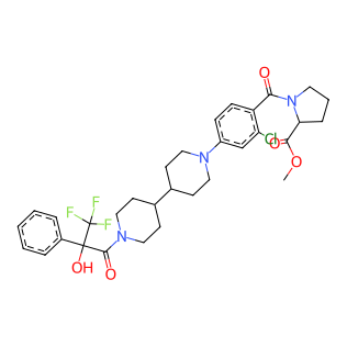 COC(=O)C1CCCN1C(=O)c1ccc(N2CCC(C3CCN(C(=O)C(O)(c4ccccc4)C(F)(F)F)CC3)CC2)cc1Cl